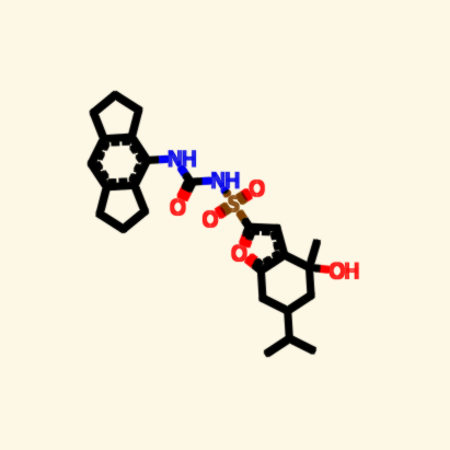 CC(C)C1Cc2oc(S(=O)(=O)NC(=O)Nc3c4c(cc5c3CCC5)CCC4)cc2C(C)(O)C1